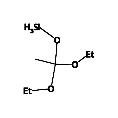 CCOC(C)(O[SiH3])OCC